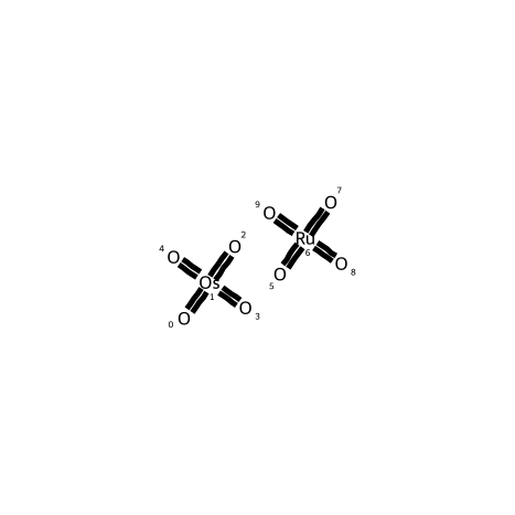 [O]=[Os](=[O])(=[O])=[O].[O]=[Ru](=[O])(=[O])=[O]